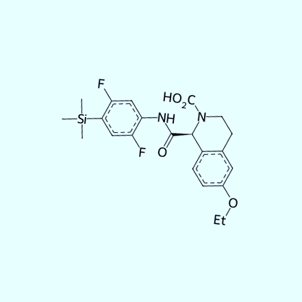 CCOc1ccc2c(c1)CCN(C(=O)O)[C@@H]2C(=O)Nc1cc(F)c([Si](C)(C)C)cc1F